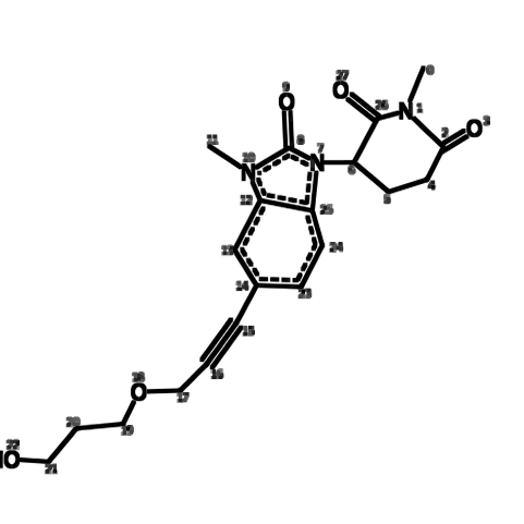 CN1C(=O)CCC(n2c(=O)n(C)c3cc(C#CCOCCCO)ccc32)C1=O